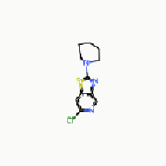 Clc1cc2sc(N3CCCCC3)nc2cn1